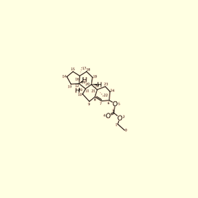 CCOC(=O)OC1C=C2CC[C@H]3[C@@H]4CCC[C@@]4(C)CC[C@@H]3[C@@]2(C)CC1